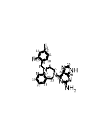 Nc1nc(N2CCN(Cc3ccc(F)cc3F)c3ccccc3C2)c2nc[nH]c2n1